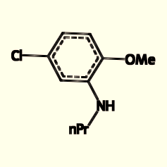 CCCNc1cc(Cl)ccc1OC